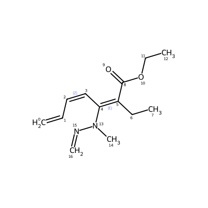 C=C/C=C\C(=C(\CC)C(=O)OCC)N(C)N=C